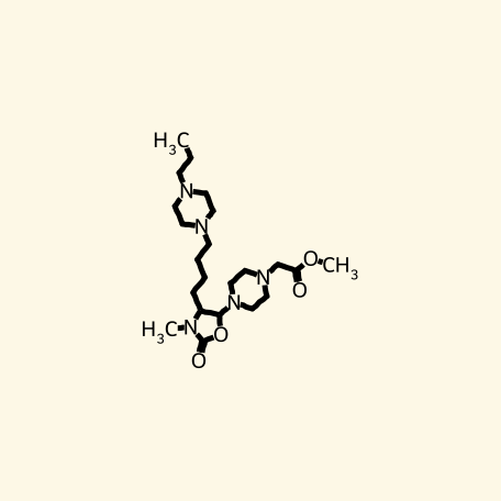 CCCN1CCN(CCCCC2C(N3CCN(CC(=O)OC)CC3)OC(=O)N2C)CC1